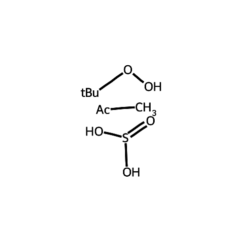 CC(C)(C)OO.CC(C)=O.O=S(O)O